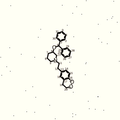 c1ccc(C(OC2CCCN(CCc3ccc4c(c3)CCOO4)C2)c2ccccc2)cc1